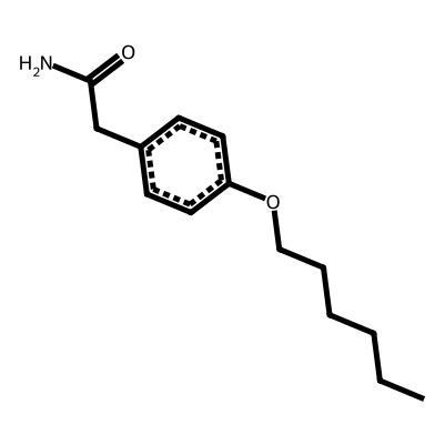 CCCCCCOc1ccc(CC(N)=O)cc1